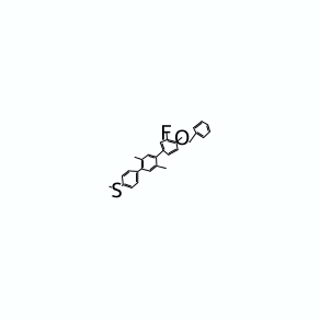 CSc1ccc(-c2cc(C)c(-c3ccc(OCc4ccccc4)c(F)c3)cc2C)cc1